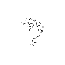 Cc1nc2c(F)cc(-c3nc(Nc4ccc(OCC5CCN(C)CC5)cn4)ncc3F)cc2n1C(C)C